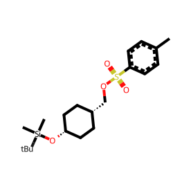 Cc1ccc(S(=O)(=O)OC[C@H]2CC[C@@H](O[Si](C)(C)C(C)(C)C)CC2)cc1